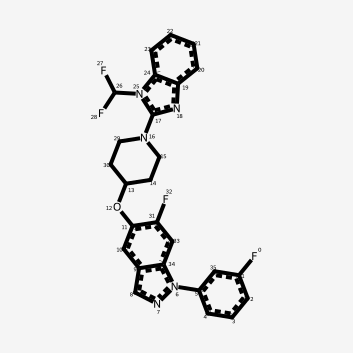 Fc1cccc(-n2ncc3cc(OC4CCN(c5nc6ccccc6n5C(F)F)CC4)c(F)cc32)c1